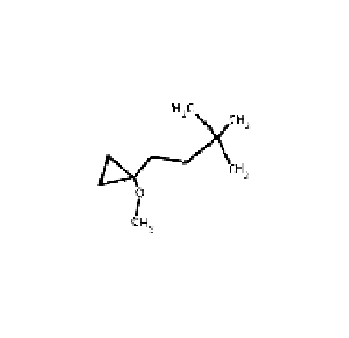 COC1(CCC(C)(C)C)CC1